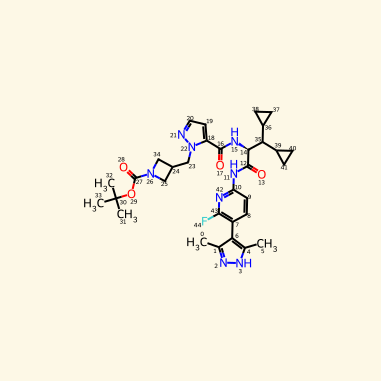 Cc1n[nH]c(C)c1-c1ccc(NC(=O)[C@@H](NC(=O)c2ccnn2CC2CN(C(=O)OC(C)(C)C)C2)C(C2CC2)C2CC2)nc1F